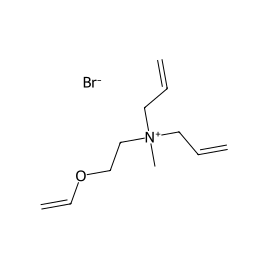 C=CC[N+](C)(CC=C)CCOC=C.[Br-]